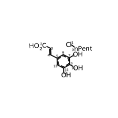 CCCCCCl.O=C(O)C=Cc1cc(O)c(O)c(O)c1